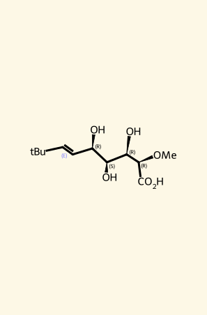 CO[C@@H](C(=O)O)[C@H](O)[C@@H](O)[C@H](O)/C=C/C(C)(C)C